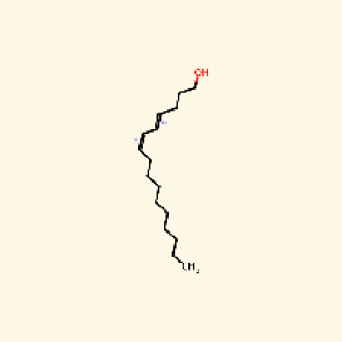 CCCCCCCCC/C=C\C=C\CCCO